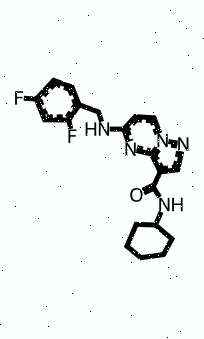 O=C(NC1CCCCC1)c1cnn2ccc(NCc3ccc(F)cc3F)nc12